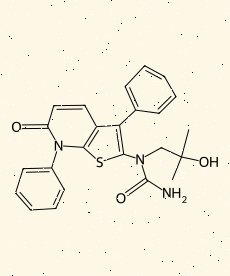 CC(C)(O)CN(C(N)=O)c1sc2c(ccc(=O)n2-c2ccccc2)c1-c1ccccc1